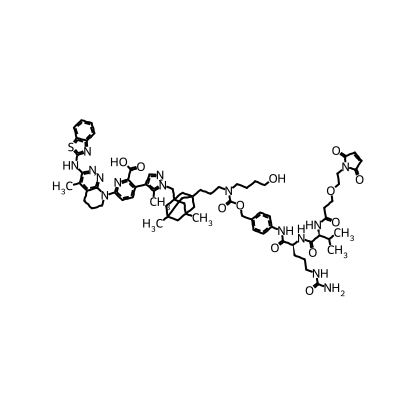 Cc1c(Nc2nc3ccccc3s2)nnc2c1CCCN2c1ccc(-c2cnn(CC34CC5(C)CC(C)(CC(CCCN(CCCCO)C(=O)OCc6ccc(NC(=O)[C@H](CCCNC(N)=O)NC(=O)[C@@H](NC(=O)CCOCCN7C(=O)C=CC7=O)C(C)C)cc6)(C5)C3)C4)c2C)c(C(=O)O)n1